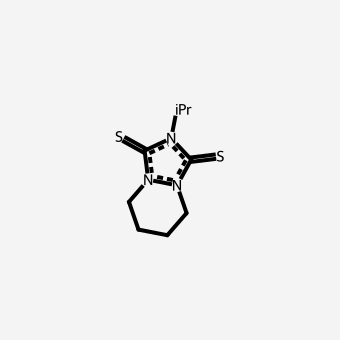 CC(C)n1c(=S)n2n(c1=S)CCCC2